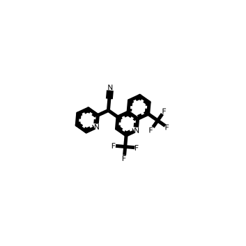 N#CC(c1ccccn1)c1cc(C(F)(F)F)nc2c(C(F)(F)F)cccc12